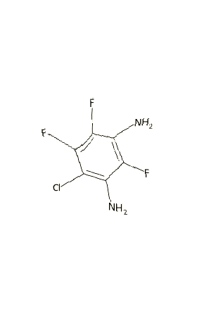 Nc1c(F)c(N)c(Cl)c(F)c1F